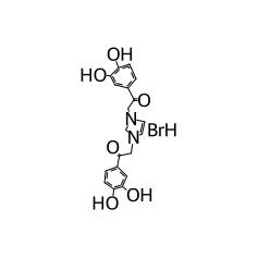 Br.O=C(CN1C=CN(CC(=O)c2ccc(O)c(O)c2)C1)c1ccc(O)c(O)c1